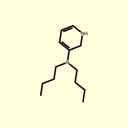 CCCCN(CCCC)C1=CC=CNC1